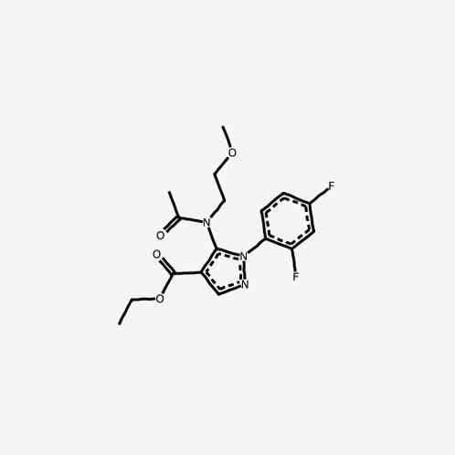 CCOC(=O)c1cnn(-c2ccc(F)cc2F)c1N(CCOC)C(C)=O